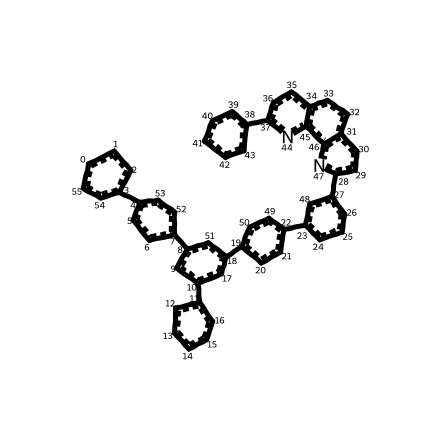 c1ccc(-c2ccc(-c3cc(-c4ccccc4)cc(-c4ccc(-c5cccc(-c6ccc7ccc8ccc(-c9ccccc9)nc8c7n6)c5)cc4)c3)cc2)cc1